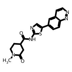 CN1CCC(C(=O)Nc2ncc(-c3ccc4nnccc4c3)s2)CC1=O